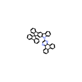 c1ccc2c(c1)-c1ccccc1C21c2ccccc2-c2cc3c4ccccc4n(-c4cnc5c6ccccc6c6ccccc6c5n4)c3cc21